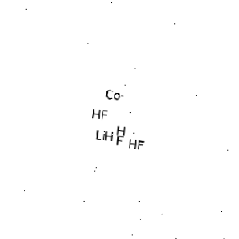 F.F.F.[Co].[LiH]